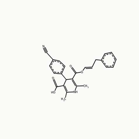 CC1=C(C(=O)O)C(c2ccc(C#N)cc2)C(C(=O)OC=CCc2ccccc2)=C(C)N1